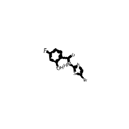 O=C(Nc1ncc(Br)s1)c1ccc(F)cc1O